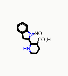 O=NN1c2ccccc2CC1C1NCCCC1C(=O)O